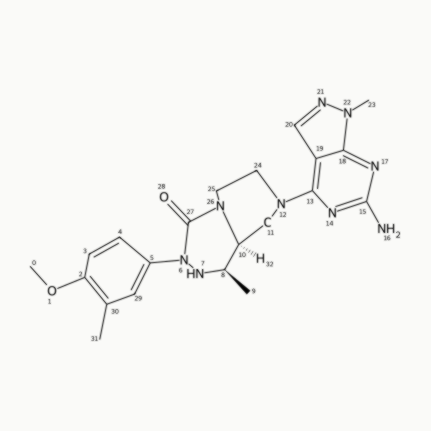 COc1ccc(N2N[C@H](C)[C@@H]3CN(c4nc(N)nc5c4cnn5C)CCN3C2=O)cc1C